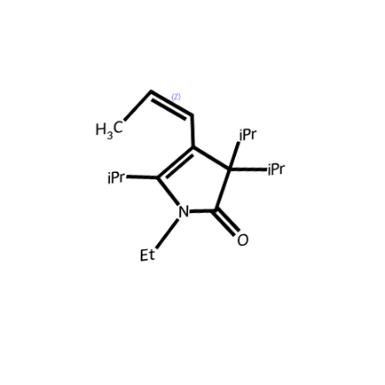 C/C=C\C1=C(C(C)C)N(CC)C(=O)C1(C(C)C)C(C)C